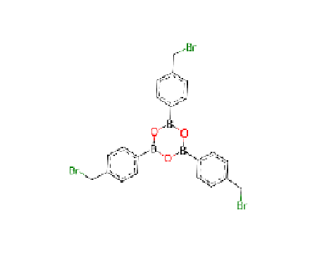 BrCc1ccc(B2OB(c3ccc(CBr)cc3)OB(c3ccc(CBr)cc3)O2)cc1